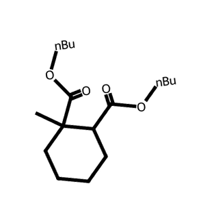 CCCCOC(=O)C1CCCCC1(C)C(=O)OCCCC